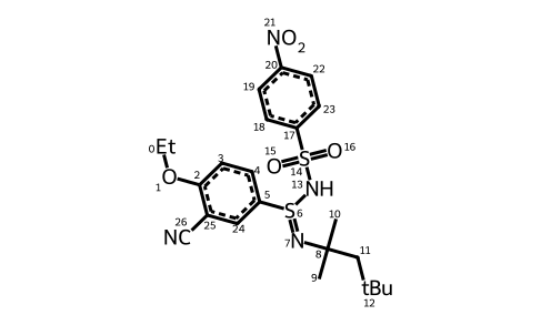 CCOc1ccc(S(=NC(C)(C)CC(C)(C)C)NS(=O)(=O)c2ccc([N+](=O)[O-])cc2)cc1C#N